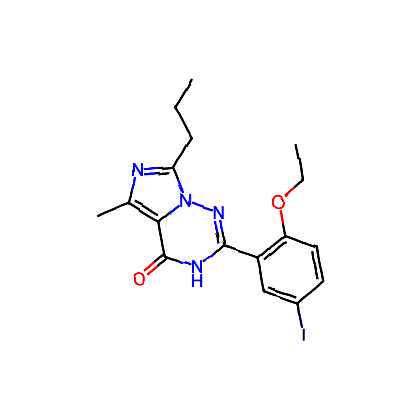 CCCc1nc(C)c2c(=O)[nH]c(-c3cc(I)ccc3OCC)nn12